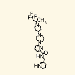 CC(CC(F)(F)F)N1CCC(N2CCCN(c3cccc(C(=O)NCC4=CNCC=C4)n3)CC2)CC1